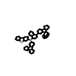 c1ccc2c(c1)-c1ccc(N(c3ccc4c(c3)oc3ccccc34)c3ccc(-c4ccc5c(c4)C4(c6ccccc6-5)C5CC6CC(C5)CC4C6)c4ccccc34)cc1C21CCCC1